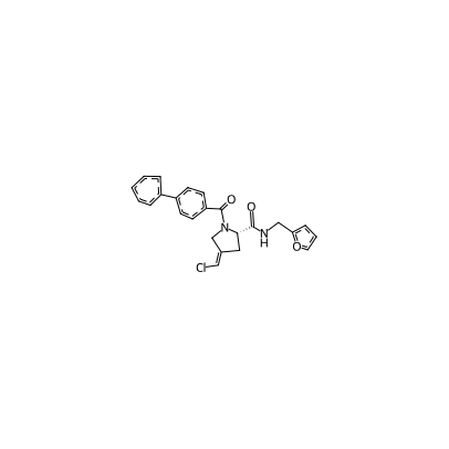 O=C(NCc1ccco1)[C@@H]1CC(=CCl)CN1C(=O)c1ccc(-c2ccccc2)cc1